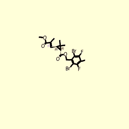 COC(=O)/C(C)=C/[C@@H]1[C@@H](C(=O)OCc2c(Br)c(F)c(C)c(F)c2Br)C1(C)C